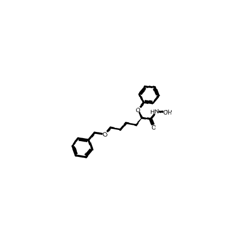 O=C(NO)[C@@H](CCCCOCc1ccccc1)Oc1ccccc1